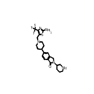 Nc1nc(C(F)(F)F)c(CN2CCC(c3ccc4c(c3)CN(C3CCCNC3)C4=O)CC2)s1